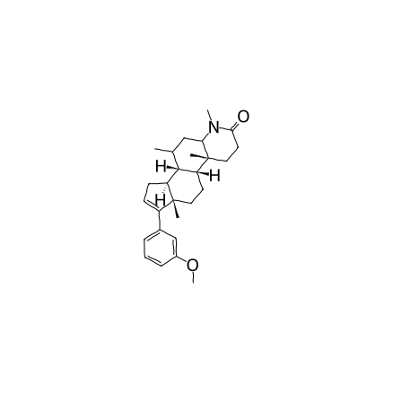 COc1cccc(C2=CC[C@H]3[C@@H]4C(C)CC5N(C)C(=O)CC[C@]5(C)[C@@H]4CC[C@]23C)c1